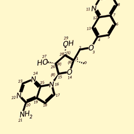 C[C@]1(COc2ccc3cccnc3c2)O[C@@H](n2ccc3c(N)ncnc32)[C@H](O)[C@@H]1O